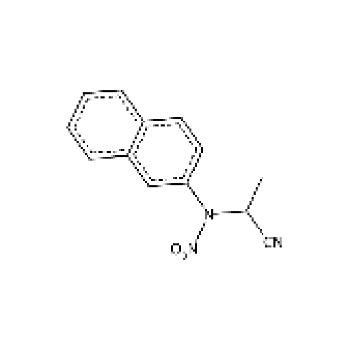 CC(C#N)N(c1ccc2ccccc2c1)[N+](=O)[O-]